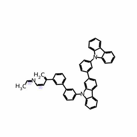 C=C(/C=C\N=C/C)c1cccc(-c2cccc(-n3c4ccccc4c4ccc(-c5cccc(-n6c7ccccc7c7ccccc76)c5)cc43)c2)c1